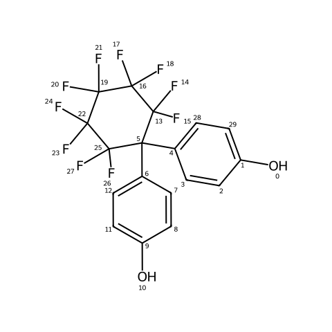 Oc1ccc(C2(c3ccc(O)cc3)C(F)(F)C(F)(F)C(F)(F)C(F)(F)C2(F)F)cc1